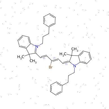 CC1(C)C(/C=C/C(Br)=C/C=C2/N(CCCc3ccccc3)c3ccccc3C2(C)C)=[N+](CCCc2ccccc2)c2ccccc21